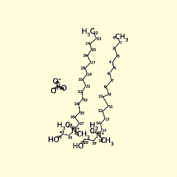 CCCCCCCCCCCCCCCC[N+](C)(C)CCO.CCCCCCCCCCCCCCCC[N+](C)(C)CCO.O=C([O-])[O-]